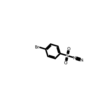 N#[N+]S(=O)(=O)c1ccc(Br)cc1